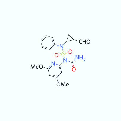 COc1cc(OC)nc(N(C(N)=O)S(=O)(=O)N(c2ccccc2)C2CC2C=O)c1